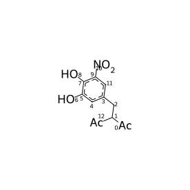 CC(=O)C(Cc1cc(O)c(O)c([N+](=O)[O-])c1)C(C)=O